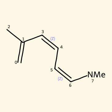 C=C(C)/C=C\C=C/NC